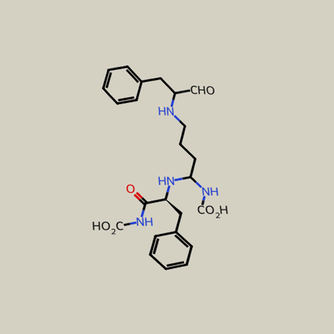 O=CC(Cc1ccccc1)NCCCC(NC(=O)O)N[C@@H](Cc1ccccc1)C(=O)NC(=O)O